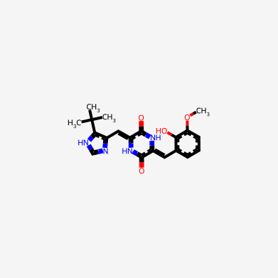 COc1cccc(/C=c2\[nH]c(=O)/c(=C/c3nc[nH]c3C(C)(C)C)[nH]c2=O)c1O